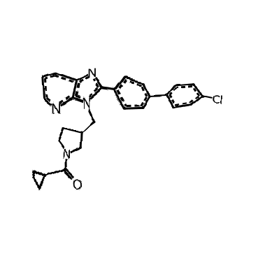 O=C(C1CC1)N1CC[C@@H](Cn2c(-c3ccc(-c4ccc(Cl)cc4)cc3)nc3cccnc32)C1